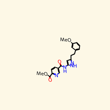 COC(=O)c1ccc(C(=O)Nc2cc(CCc3cccc(OC)c3)n[nH]2)cn1